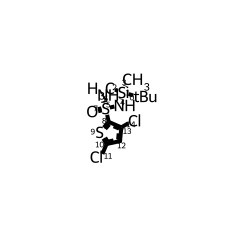 CC(C)(C)[Si](C)(C)NS(=N)(=O)c1sc(Cl)cc1Cl